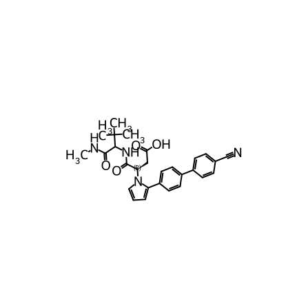 CNC(=O)C(NC(=O)[C@@H](CC(=O)O)n1cccc1-c1ccc(-c2ccc(C#N)cc2)cc1)C(C)(C)C